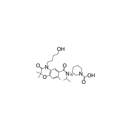 Cc1cc2c(cc1C(=O)N(C(C)C)[C@@H]1CCCN(C(=O)O)C1)N(CCCCO)C(=O)C(C)(C)O2